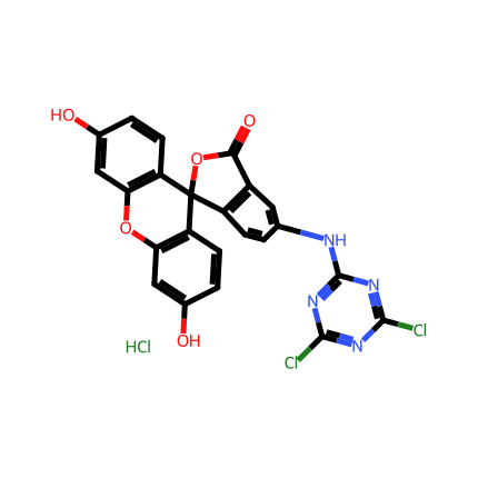 Cl.O=C1OC2(c3ccc(O)cc3Oc3cc(O)ccc32)c2ccc(Nc3nc(Cl)nc(Cl)n3)cc21